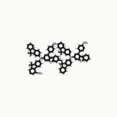 CC(C)(C)c1ccc(-c2cc(N(c3ccc4c(c3)C(C)(C)c3ccccc3-4)c3ccc4c(c3)C(C)(Cc3ccc5c(c3)oc3cc(N(c6ccc7c(c6)C(C)(C)c6ccccc6-7)c6ccc7c(c6)C(C)(C)c6cccc(C(C)(C)C)c6-7)cc(-c6ccc(C(C)(C)C)cc6)c35)c3ccccc3-4)cc3oc4ccccc4c23)cc1